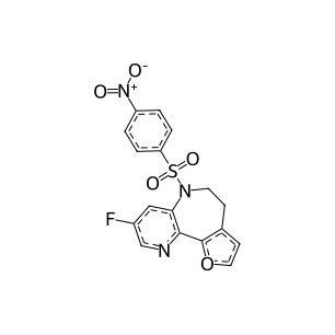 O=[N+]([O-])c1ccc(S(=O)(=O)N2CCc3ccoc3-c3ncc(F)cc32)cc1